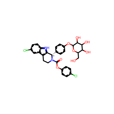 O=C(Oc1ccc(Cl)cc1)N1CCc2c([nH]c3ccc(Cl)cc23)[C@@H]1c1ccc(OC2OC(CO)C(O)C(O)C2O)cc1